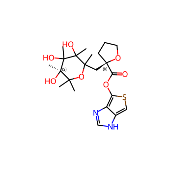 CC1(C[C@@]2(C(=O)Oc3scc4[nH]cnc34)CCCO2)OC(C)(C)[C@@](C)(O)C(C)(O)C1(C)O